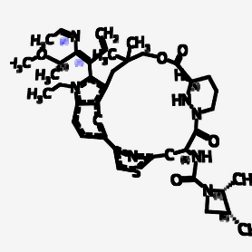 C=C/C(=C(\N=C/C)[C@H](C)OC)c1c2c3cc(ccc3n1CC)-c1csc(n1)C[C@H](NC(=O)N1C[C@@H](C)[C@H]1C)C(=O)N1CCC[C@H](N1)C(=O)OCC(C)(C)C2